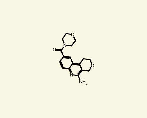 Nc1nc2ccc(C(=O)N3CCOCC3)cc2c2c1COCC2